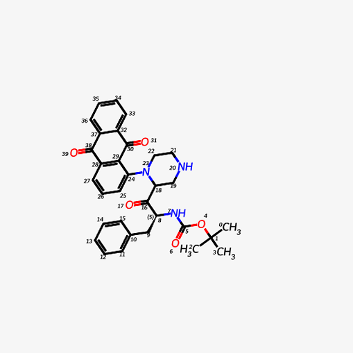 CC(C)(C)OC(=O)N[C@@H](Cc1ccccc1)C(=O)C1CNCCN1c1cccc2c1C(=O)c1ccccc1C2=O